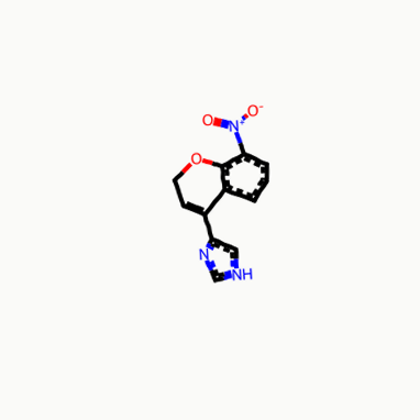 O=[N+]([O-])c1cccc2c1OCC=C2c1c[nH]cn1